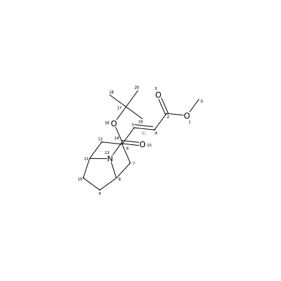 COC(=O)/C=C/C1CC2CCC(C1)N2C(=O)OC(C)(C)C